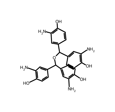 Nc1cc(C(OC(c2ccc(O)c(N)c2)c2ccc(O)c(N)c2)c2ccc(O)c(N)c2)ccc1O